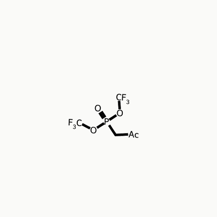 CC(=O)CP(=O)(OC(F)(F)F)OC(F)(F)F